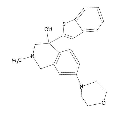 CN1Cc2cc(N3CCOCC3)ccc2C(O)(c2cc3ccccc3s2)C1